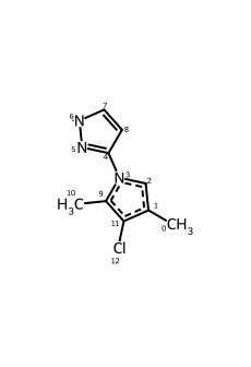 Cc1cn(C2=N[N]C=C2)c(C)c1Cl